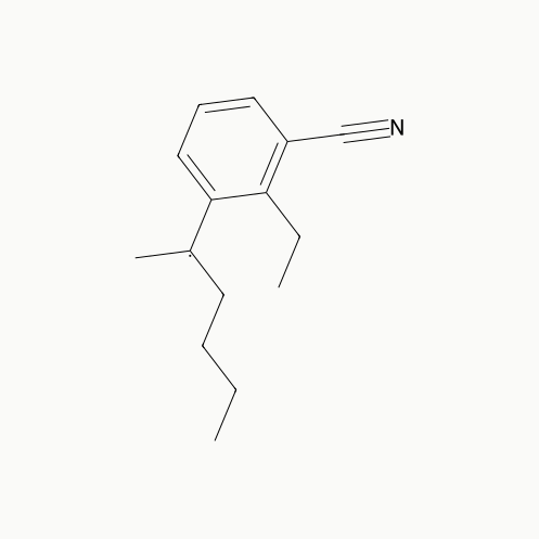 CCCC[C](C)c1cccc(C#N)c1CC